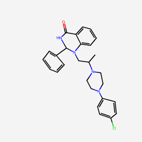 CC(CN1c2ccccc2C(=O)NC1c1ccccc1)N1CCN(c2ccc(Cl)cc2)CC1